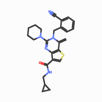 C=C1c2scc(C(=O)NCC3CC3)c2N=C(N2CCCCC2)N1Cc1ccccc1C#N